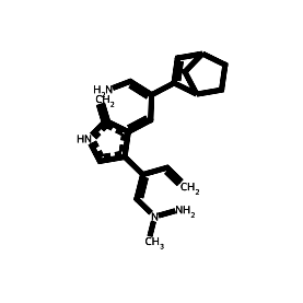 C=C/C(=C\N(C)N)c1c[nH]c(=C)/c1=C\C(=C/N)C1=CC2CCC1C2